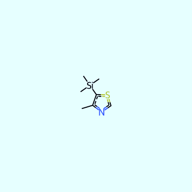 Cc1ncsc1[Si](C)(C)C